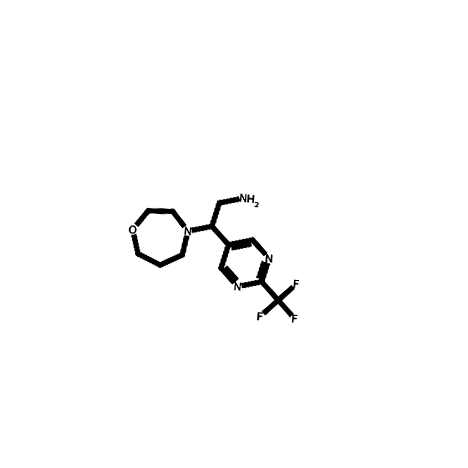 NCC(c1cnc(C(F)(F)F)nc1)N1CCCOCC1